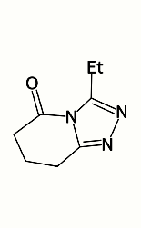 CCc1nnc2n1C(=O)CCC2